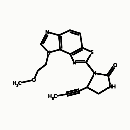 CC#CC1CNC(=O)N1c1nc2c(ccc3ncn(CCOC)c32)s1